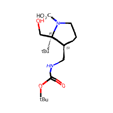 CC(C)(C)OC(=O)NC[C@@H]1CCN(C(=O)O)[C@@]1(CO)C(C)(C)C